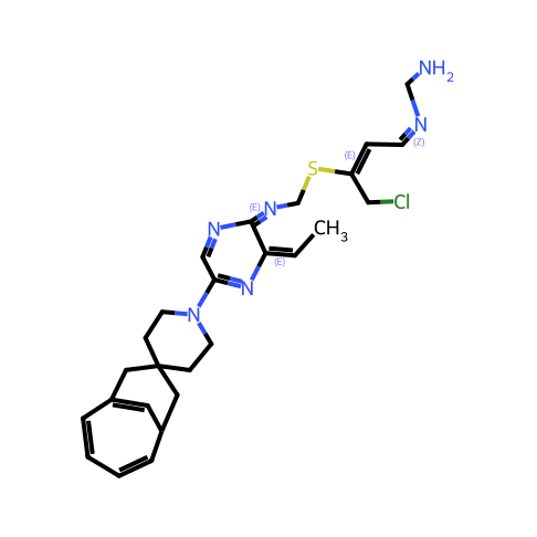 C/C=C1/N=C(N2CCC3(CC2)CC2=CC(C=CC=C2)C3)C=N/C1=N/CS/C(=C/C=N\CN)CCl